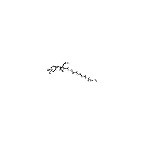 CCc1c(CN2CCS(=O)(=O)CC2)nnn1CCOCCOCCOCCNC